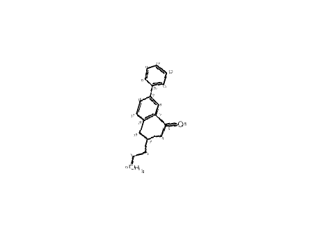 CCCC1CC(=O)c2cc(-c3ccccc3)ccc2C1